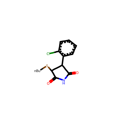 CCCCSC1C(=O)NC(=O)C1c1ccccc1Cl